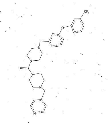 O=C(C1CCN(Cc2ccncc2)CC1)N1CCN(Cc2cccc(Oc3cccc(C(F)(F)F)c3)c2)CC1